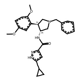 COc1ccc(OC)c([C@H]2CN(Cc3ccccc3)C[C@@H]2NC(=O)c2cc(C3CC3)[nH]n2)c1